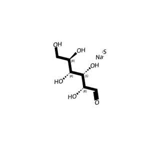 O=C[C@H](O)[C@@H](O)[C@H](O)[C@H](O)CO.[Na].[S]